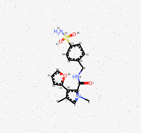 Cc1cn(C)c(C(=O)NCc2ccc(S(N)(=O)=O)cc2)c1-c1ccco1